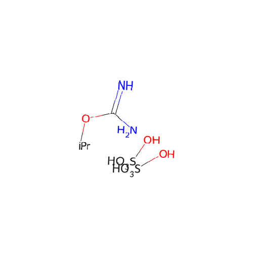 CC(C)OC(=N)N.O=S(=O)(O)O.O=S(=O)(O)O